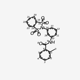 Cc1ccccc1C(=O)Nc1cccc(N2S(=O)(=O)c3ccccc3S2(=O)=O)c1